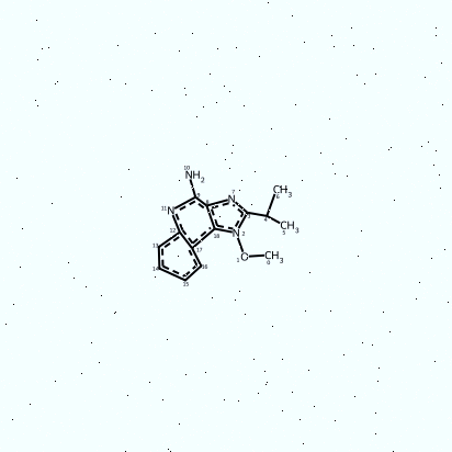 COn1c(C(C)C)nc2c(N)nc3ccccc3c21